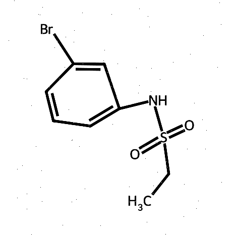 CCS(=O)(=O)Nc1cccc(Br)c1